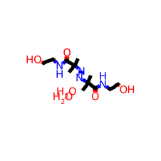 CC(C)(N=NC(C)(C)C(=O)NCCO)C(=O)NCCO.O.O